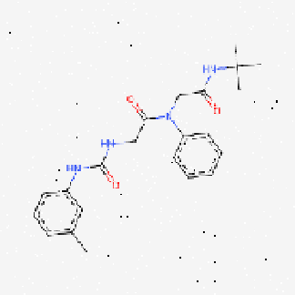 Cc1cccc(NC(=O)NCC(=O)N(CC(=O)NC(C)(C)C)c2ccccc2)c1